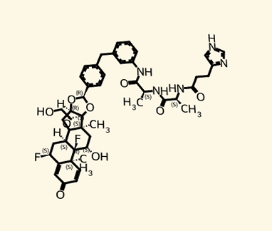 C[C@H](NC(=O)CCc1c[nH]cn1)C(=O)N[C@@H](C)C(=O)Nc1cccc(Cc2ccc([C@@H]3O[C@@H]4CC5[C@@H]6C[C@H](F)C7=CC(=O)C=C[C@]7(C)[C@@]6(F)[C@@H](O)C[C@]5(C)[C@]4(C(=O)CO)O3)cc2)c1